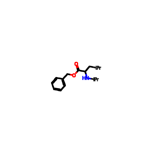 CC(C)CC(NC(C)C)C(=O)OCc1ccccc1